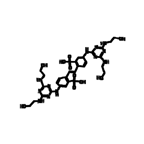 O=S(=O)(O)c1cc(Nc2nc(NCCO)nc(NCCO)n2)ccc1C=Cc1ccc(Nc2nc(NCCO)nc(NCCO)n2)cc1S(=O)(=O)O